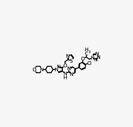 CC(Cn1cnnn1)Oc1cc(-c2cnc(Nc3cn(C4CCC(N5CCOCC5)CC4)nc3OCc3nccs3)nc2)ccc1Cl